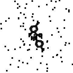 O=C(Nc1ccc(F)cc1)c1cc(I)ccc1F